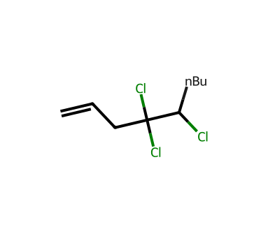 C=CCC(Cl)(Cl)C(Cl)CCCC